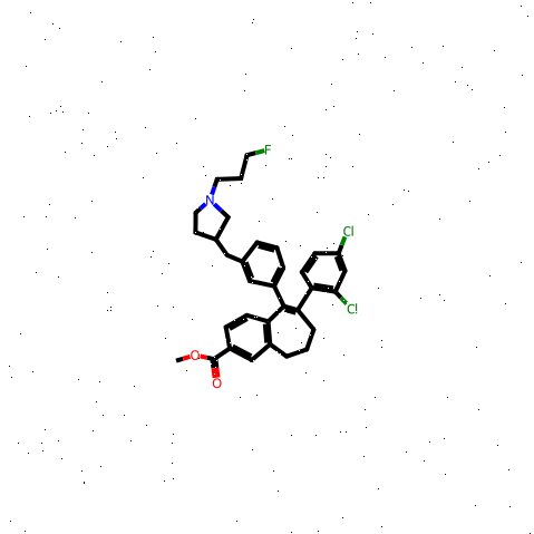 COC(=O)c1ccc2c(c1)CCCC(c1ccc(Cl)cc1Cl)=C2c1cccc(CC2CCN(CCCF)C2)c1